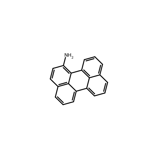 Nc1ccc2cccc3c4cccc5cccc(c1c23)c54